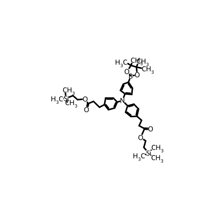 CC1(C)OB(c2ccc(N(c3ccc(CCC(=O)OCC[Si](C)(C)C)cc3)c3ccc(CCC(=O)OCC[Si](C)(C)C)cc3)cc2)OC1(C)C